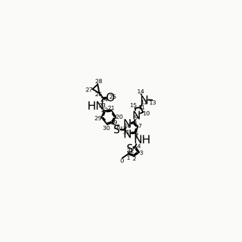 Cc1ccc(Nc2cc(N3CC(N(C)C)C3)nc(Sc3ccc(NC(=O)C4CC4)cc3)n2)s1